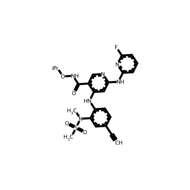 C#Cc1ccc(Nc2cc(Nc3cccc(F)n3)ncc2C(=O)NOC(C)C)c(N(C)S(C)(=O)=O)c1